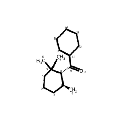 C[C@H]1CCCC(C)(C)[C@@H]1C(=O)C1CCCCC1